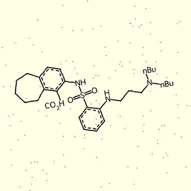 CCCCN(CCCC)CCCNc1ccccc1S(=O)(=O)Nc1ccc2c(c1C(=O)O)CCCCC2